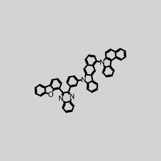 c1cc(-c2nc3ccccc3nc2-c2cccc3c2oc2ccccc23)cc(-n2c3ccccc3c3cc4c(-n5c6ccccc6c6c7ccccc7ccc65)cccc4cc32)c1